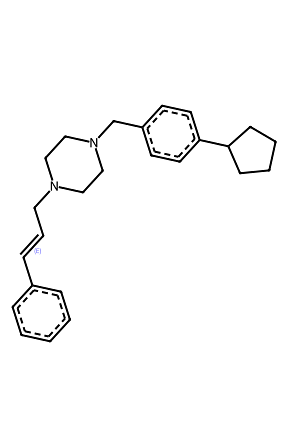 C(=C\c1ccccc1)/CN1CCN(Cc2ccc(C3CCCC3)cc2)CC1